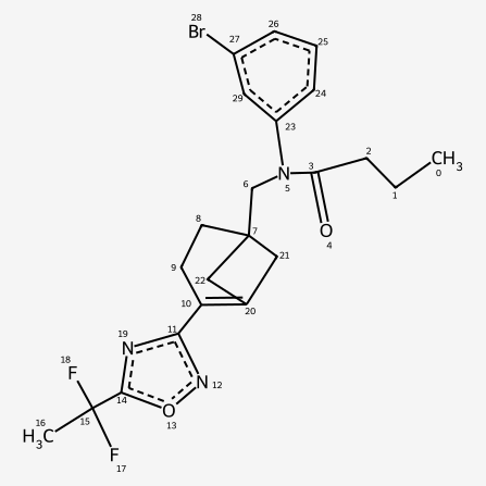 CCCC(=O)N(CC12CCC(c3noc(C(C)(F)F)n3)=C(C1)C2)c1cccc(Br)c1